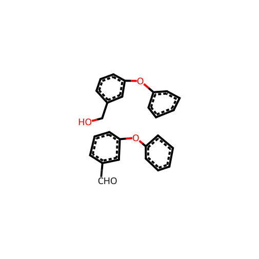 O=Cc1cccc(Oc2ccccc2)c1.OCc1cccc(Oc2ccccc2)c1